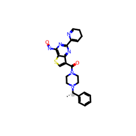 C[C@@H](c1ccccc1)N1CCN(C(=O)c2csc3c(N=O)nc(C4=CCCC=N4)nc23)CC1